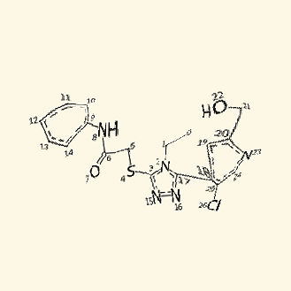 CCn1c(SCC(=O)Nc2ccccc2)nnc1-c1cc(CO)ncc1Cl